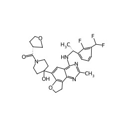 Cc1nc(N[C@H](C)c2cccc(C(F)F)c2F)c2cc(C3(O)CCN(C(=O)[C@@H]4CCOC4)CC3)c3c(c2n1)CCO3